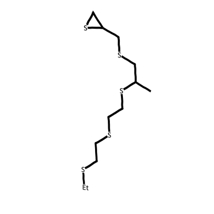 CCSCCSCCSC(C)CSCC1CS1